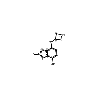 Cn1cc2c(Br)ccc(OC3CNC3)c2n1